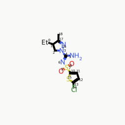 CCC1CN(/C(N)=N/S(=O)(=O)c2ccc(Cl)s2)N=C1C